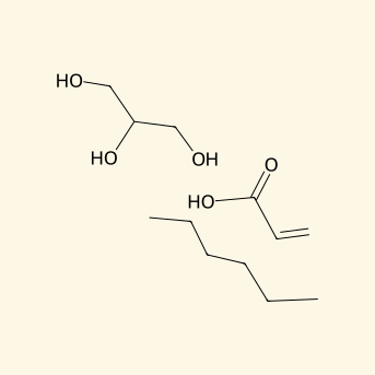 C=CC(=O)O.CCCCCC.OCC(O)CO